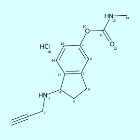 C#CCNC1CCc2cc(OC(=O)NC)ccc21.Cl